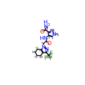 Cn1cc(NC(=O)Cn2nc(C(F)(F)F)c3c2CCCC3)c(C(N)=O)n1